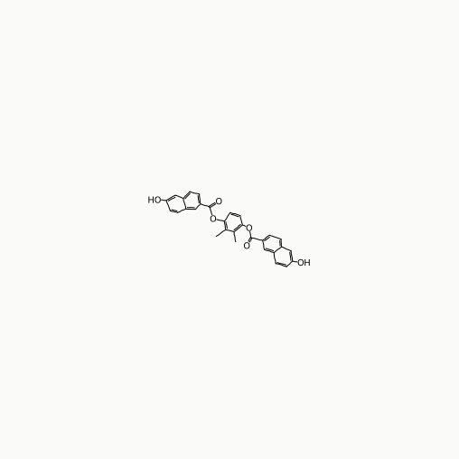 Cc1c(OC(=O)c2ccc3cc(O)ccc3c2)ccc(OC(=O)c2ccc3cc(O)ccc3c2)c1C